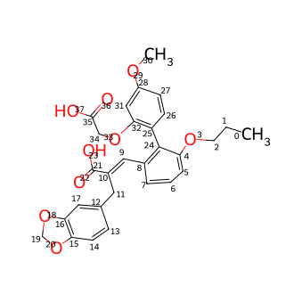 CCCOc1cccc(/C=C(\Cc2ccc3c(c2)OCO3)C(=O)O)c1-c1ccc(OC)cc1OCC(=O)O